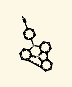 N#Cc1ccc(B2c3cccc4c5cccc6c7cccc2c7n(c34)c56)cc1